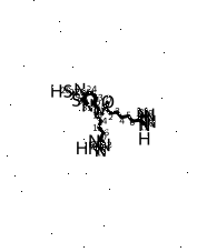 O=C(CCCCCc1nnn[nH]1)N(CCCCc1nn[nH]n1)c1ccc2nc(S)sc2n1